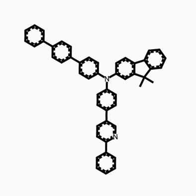 CC1(C)c2ccccc2-c2ccc(N(c3ccc(-c4ccc(-c5ccccc5)cc4)cc3)c3ccc(-c4ccc(-c5ccccc5)nc4)cc3)cc21